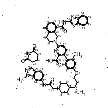 Cc1cc(OCC[C@H](C)C2CCN(CC(=O)Nc3ccc4c([C@H]5CCC(=O)NC5=O)nn(C)c4c3)CC2)ccc1-c1ccc(N2CCc3cccc(C(=O)Nc4nc5ccccc5s4)c3C2)nc1C(=O)O